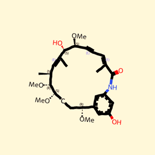 CO[C@H]1[C@@H](OC)CC[C@@H](OC)c2cc(O)cc(c2)NC(=O)/C(C)=C/C=C/[C@H](OC)[C@@H](O)/C(C)=C/[C@@H]1C